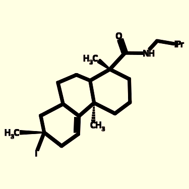 CC(C)CNC(=O)[C@]1(C)CCC[C@@]2(C)C3=CC[C@](C)(I)CC3CCC12